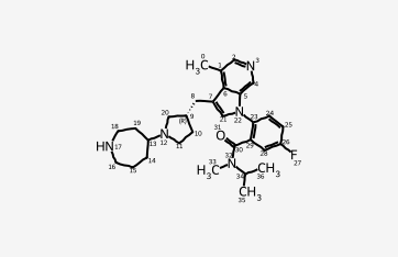 Cc1cncc2c1c(C[C@@H]1CCN(C3CCCNCC3)C1)cn2-c1ccc(F)cc1C(=O)N(C)C(C)C